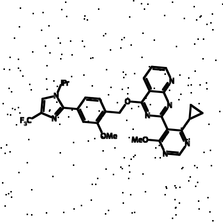 COc1cc(-c2nc(C(F)(F)F)cn2C(C)C)ccc1COc1nc(-c2c(OC)ncnc2C2CC2)nc2ncccc12